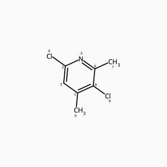 Cc1cc(Cl)nc(C)c1Cl